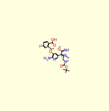 CN/C(CN(C)C(=O)OC(C)(C)C)=C(\C(=N)OC)c1cnc(N)c(O[C@H](C)c2cc(F)ccc2C(=O)O)c1